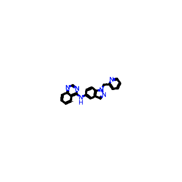 [c]1cccc2ncnc(Nc3ccc4c(cnn4Cc4ccccn4)c3)c12